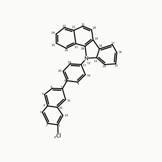 Clc1ccc2ccc(-c3ccc(-n4c5ccccc5c5ccc6ccccc6c54)cc3)cc2c1